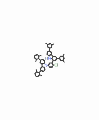 Cc1cc(C)cc(-c2ccc3[nH]c4c(-c5cc(-n6c7ccc(-c8c(C)cccc8C)cc7c7cc(-c8c(C)cccc8C)ccc76)ccc5Cl)cc(-c5cc(C)cc(C)c5)cc4c3c2)c1